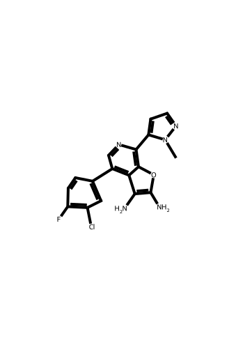 Cn1nccc1-c1ncc(-c2ccc(F)c(Cl)c2)c2c(N)c(N)oc12